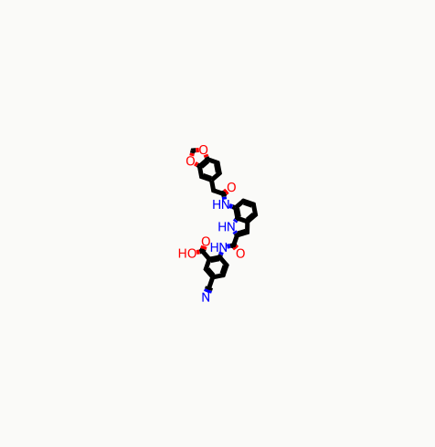 N#Cc1ccc(NC(=O)c2cc3cccc(NC(=O)Cc4ccc5c(c4)OCO5)c3[nH]2)c(C(=O)O)c1